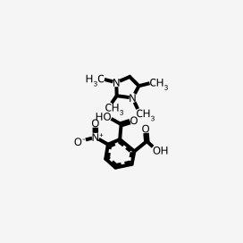 CC1CN(C)C(C)N1C.O=C(O)c1cccc([N+](=O)[O-])c1C(=O)O